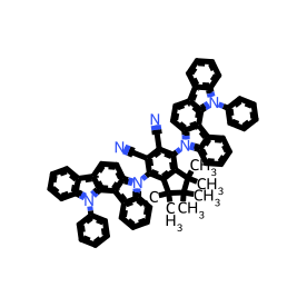 CC1(C)c2c(-n3c4ccccc4c4c3ccc3c5ccccc5n(-c5ccccc5)c34)c(C#N)c(C#N)c(-n3c4ccccc4c4c3ccc3c5ccccc5n(-c5ccccc5)c34)c2C(C)(C)C1(C)C